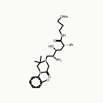 COCCCNC(=O)[C@@H](C[C@H](O)[C@@H](N)CN1CC(=O)N(c2ccccc2Cl)CC1(C)C)C(C)C